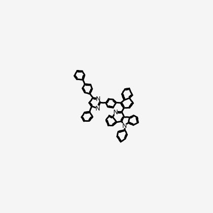 c1ccc(-c2ccc(-c3cc(-c4ccccc4)nc(-c4ccc(-c5c(-c6nc7ccccc7c7c6c6ccccc6n7-c6ccccc6)ccc6ccccc56)cc4)n3)cc2)cc1